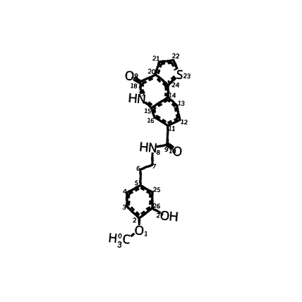 COc1ccc(CCNC(=O)c2ccc3c(c2)[nH]c(=O)c2ccsc23)cc1O